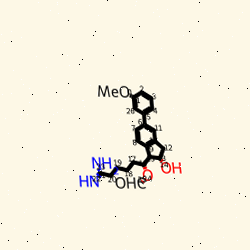 COc1cccc(-c2ccc3c(c2)CC(O)C3C(CCCCC(=N)N)OC=O)c1